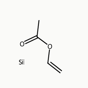 C=COC(C)=O.[Si]